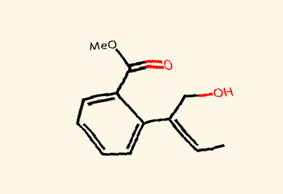 CC=C(CO)c1ccccc1C(=O)OC